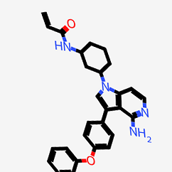 C=CC(=O)NC1CCCC(n2cc(-c3ccc(Oc4ccccc4)cc3)c3c(N)nccc32)C1